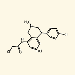 CN1Cc2c(NC(=O)CCl)cccc2C(c2ccc(Cl)cc2)C1.Cl